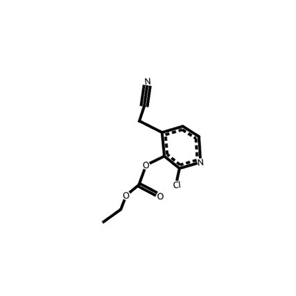 CCOC(=O)Oc1c(CC#N)ccnc1Cl